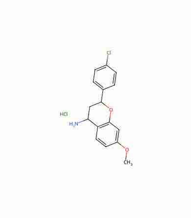 COc1ccc2c(c1)OC(c1ccc(Cl)cc1)CC2N.Cl